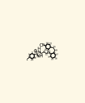 Cc1ccc(S(=N)(=O)NCCCN2c3ccccc3CCc3ccc(Cl)cc32)cc1